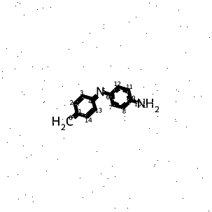 C=C1C=CC(=Nc2ccc(N)cc2)C=C1